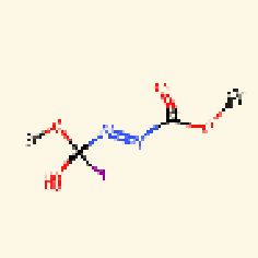 CC(C)OC(=O)/N=N/C(O)(I)OC(C)C